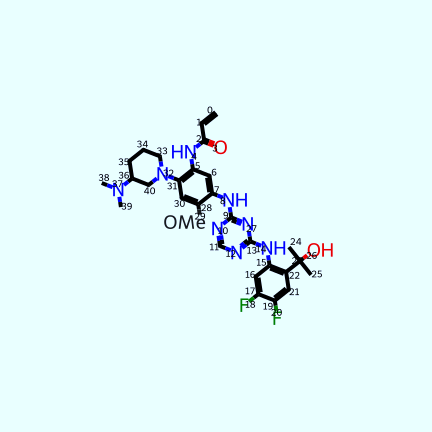 C=CC(=O)Nc1cc(Nc2ncnc(Nc3cc(F)c(F)cc3C(C)(C)O)n2)c(OC)cc1N1CCCC(N(C)C)C1